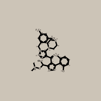 C[SiH](C)OC(c1onc(-c2c(Cl)cccc2Cl)c1C(=O)c1nnn(Cc2cc(C(F)(F)F)cc(C(F)(F)F)c2)c1N1CCOCC1)C(C)(C)C